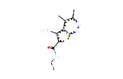 CCNC(=O)c1sc2nnc(C)c(C)c2c1N